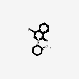 CC(C)c1cn([C@@H]2CCCC[C@@H]2C)c(=O)c2ccccc12